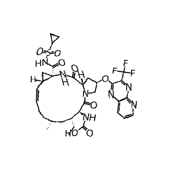 CC[C@@H]1C[C@H](C)CCC=C[C@@H]2C[C@@]2(C(=O)NS(=O)(=O)C2CC2)NC(=O)[C@@H]2C[C@@H](Oc3nc4cccnc4nc3C(F)(F)F)CN2C(=O)[C@H]1NC(=O)O